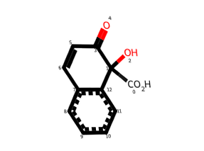 O=C(O)C1(O)C(=O)C=Cc2ccccc21